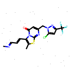 C/N=C/C=C/c1c(C)sc2nc(Cn3nc(C(F)(F)F)cc3Cl)cc(=O)n12